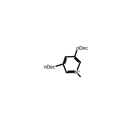 CCCCCCCCCCc1cc(CCCCCCCCCC)c[n+](C)c1